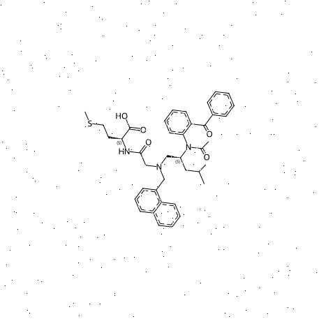 CSCC[C@H](NC(=O)CN(Cc1cccc2ccccc12)C[C@H](CC(C)C)N(C(C)=O)c1ccccc1C(=O)c1ccccc1)C(=O)O